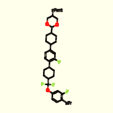 CCCCCC1COC(C2CCC(c3ccc(C4CCC(C(F)(F)Oc5ccc(CCC)c(F)c5)CC4)c(F)c3)CC2)OC1